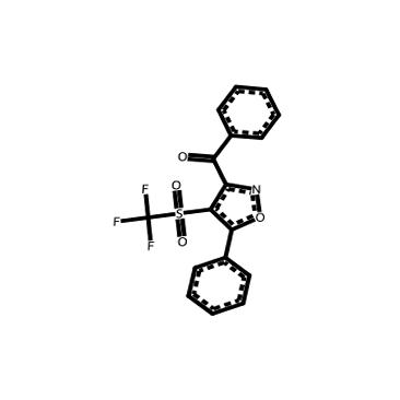 O=C(c1ccccc1)c1noc(-c2ccccc2)c1S(=O)(=O)C(F)(F)F